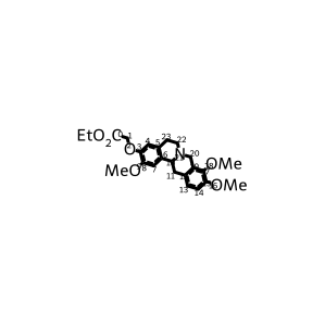 CCOC(=O)COc1cc2c(cc1OC)C1Cc3ccc(OC)c(OC)c3CN1CC2